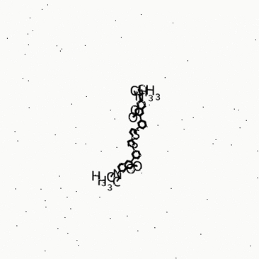 CCN(CC)c1ccc2cc(-c3cccc(-c4ccc(-c5ccc(-c6cccc(-c7cc8ccc(N(CC)CC)cc8oc7=O)c6)s5)s4)c3)c(=O)oc2c1